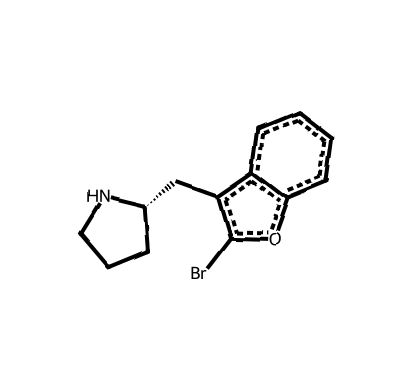 Brc1oc2ccccc2c1C[C@@H]1CCCN1